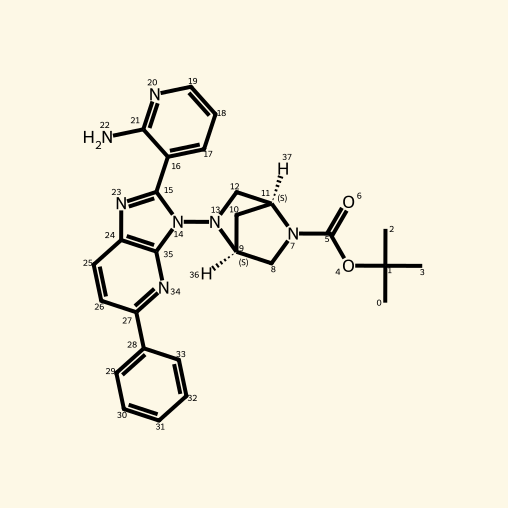 CC(C)(C)OC(=O)N1C[C@@H]2C[C@H]1CN2n1c(-c2cccnc2N)nc2ccc(-c3ccccc3)nc21